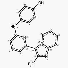 Oc1ccc(Nc2cncc(-c3c(C(F)(F)F)nc4ccccn34)n2)cc1